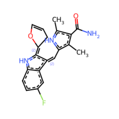 Cc1[nH]c(/C=c2\c(=C3/CC=CO3)[nH]c3ccc(F)cc23)c(C)c1C(N)=O